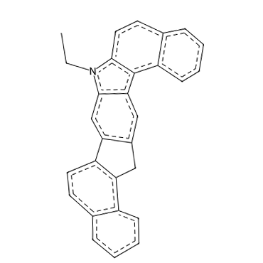 CCn1c2cc3c(cc2c2c4ccccc4ccc21)Cc1c-3ccc2ccccc12